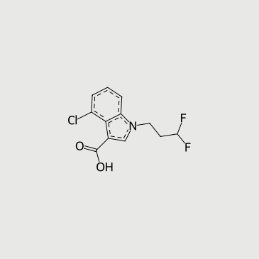 O=C(O)c1cn(CCC(F)F)c2cccc(Cl)c12